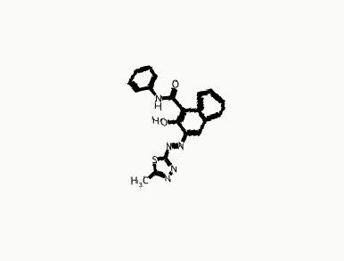 Cc1nnc(/N=N/c2cc3ccccc3c(C(=O)Nc3ccccc3)c2O)s1